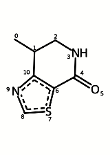 CC1CNC(=O)c2scnc21